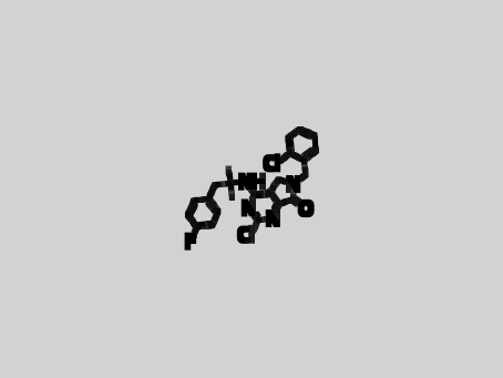 CC(C)(Cc1ccc(F)cc1)Nc1nc(Cl)nc2c1CN(Cc1ccccc1Cl)C2=O